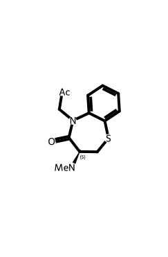 CN[C@@H]1CSc2ccccc2N(CC(C)=O)C1=O